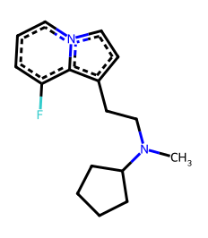 CN(CCc1ccn2cccc(F)c12)C1CCCC1